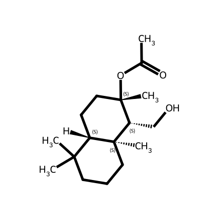 CC(=O)O[C@@]1(C)CC[C@H]2C(C)(C)CCC[C@]2(C)[C@H]1CO